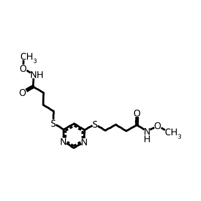 CONC(=O)CCCSc1cc(SCCCC(=O)NOC)ncn1